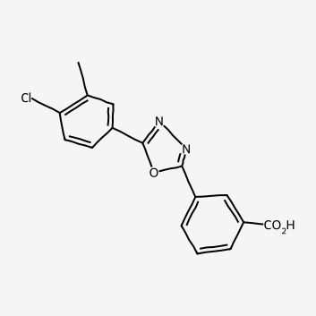 Cc1cc(-c2nnc(-c3cccc(C(=O)O)c3)o2)ccc1Cl